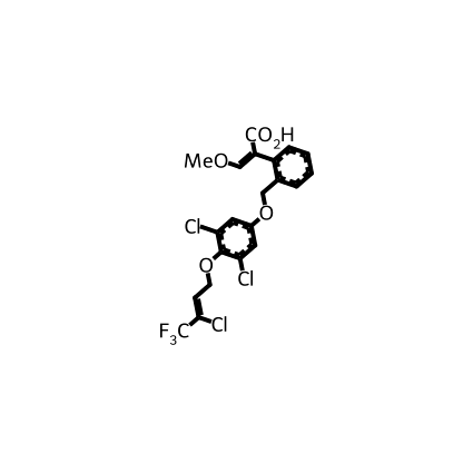 COC=C(C(=O)O)c1ccccc1COc1cc(Cl)c(OCC=C(Cl)C(F)(F)F)c(Cl)c1